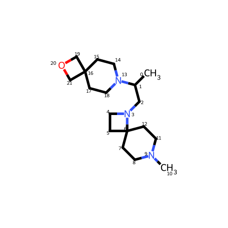 CC(CN1CCC12CCN(C)CC2)N1CCC2(CC1)COC2